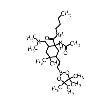 CCCCNC(=O)C1(NC(C)=O)CC(CCB2OC(C)(C)C(C)(C)O2)C(C)(C)CC1CN(C)C